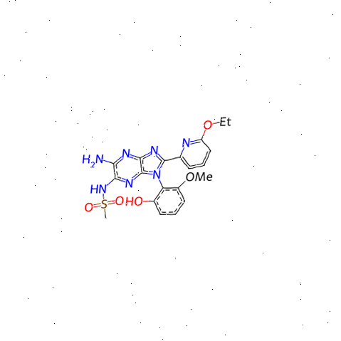 CCOC1=NC(c2nc3nc(N)c(NS(C)(=O)=O)nc3n2-c2c(O)cccc2OC)=C=C=C1